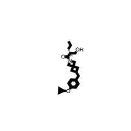 CCC[C@H](CO)C(=O)N1CC2(CC(Cc3ccc(OC4CC4)cc3)C2)C1